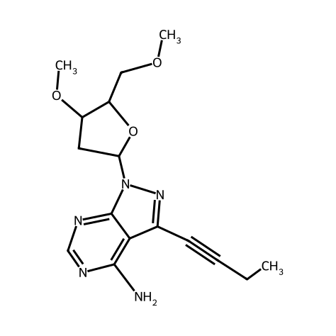 CCC#Cc1nn(C2CC(OC)C(COC)O2)c2ncnc(N)c12